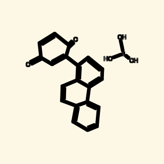 O=C1C=CC(=O)C(c2cccc3c2ccc2ccccc23)=C1.OB(O)O